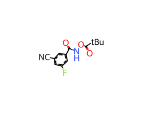 CC(C)(C)C(=O)ONC(=O)c1cc(F)cc(C#N)c1